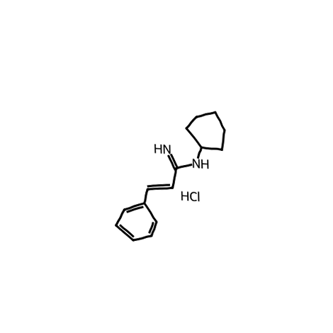 Cl.N=C(/C=C/c1ccccc1)NC1CCCCC1